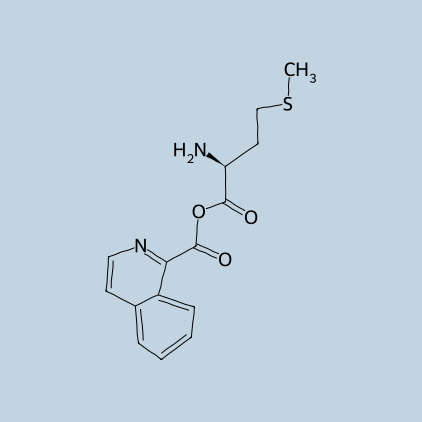 CSCC[C@H](N)C(=O)OC(=O)c1nccc2ccccc12